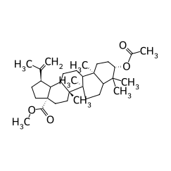 C=C(C)[C@@H]1CC[C@]2(C(=O)OC)CC[C@]3(C)C(CCC4[C@@]5(C)CC[C@H](OC(C)=O)C(C)(C)C5CC[C@]43C)C12